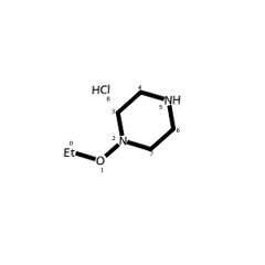 CCON1CCNCC1.Cl